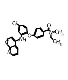 CCN(C)C(=O)c1ccc(Oc2ccc(Cl)cc2Nc2ccnc3ncccc23)cc1